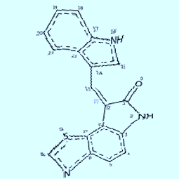 O=C1Nc2ccc3ncsc3c2/C1=C/c1c[nH]c2ccccc12